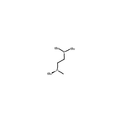 C[P@](CCP(C(C)(C)C)C(C)(C)C)C(C)(C)C